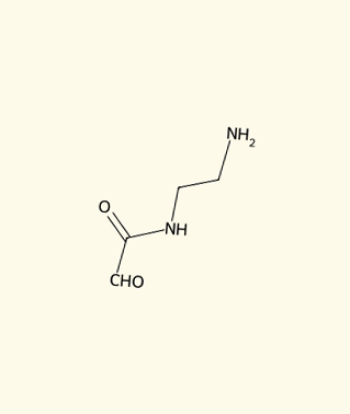 NCCNC(=O)C=O